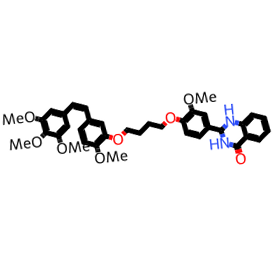 COc1cc(C2NC(=O)c3ccccc3N2)ccc1OCCCCOc1cc(/C=C\c2cc(OC)c(OC)c(OC)c2)ccc1OC